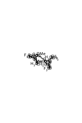 COc1cc2c(cc1OCCCCCOc1cc3c(cc1OC)C(=O)N1C=C(OS(=O)(=O)C(F)(F)F)C[C@H]1C(=O)N3COCC[Si](C)(C)C)N(COCC[Si](C)(C)C)C(=O)C1CC(OS(=O)(=O)C(F)(F)F)=CN1C2=O